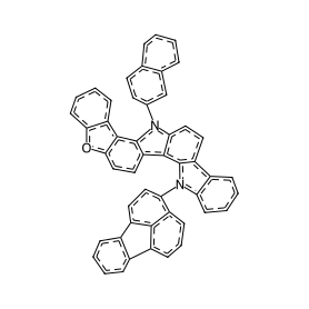 c1ccc2c(c1)-c1cccc3c(-n4c5ccccc5c5ccc6c(c7ccc8oc9ccccc9c8c7n6-c6ccc7ccccc7c6)c54)ccc-2c13